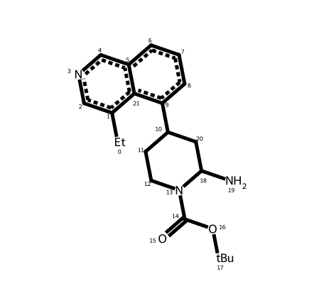 CCc1cncc2cccc(C3CCN(C(=O)OC(C)(C)C)C(N)C3)c12